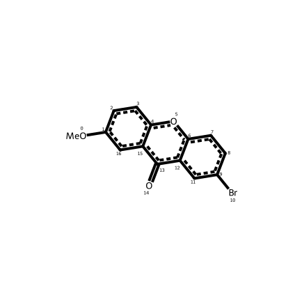 COc1ccc2oc3ccc(Br)cc3c(=O)c2c1